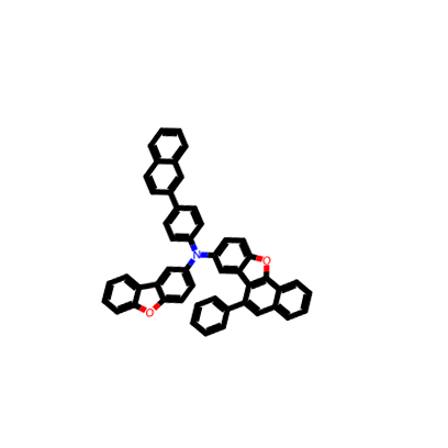 c1ccc(-c2cc3ccccc3c3oc4ccc(N(c5ccc(-c6ccc7ccccc7c6)cc5)c5ccc6oc7ccccc7c6c5)cc4c23)cc1